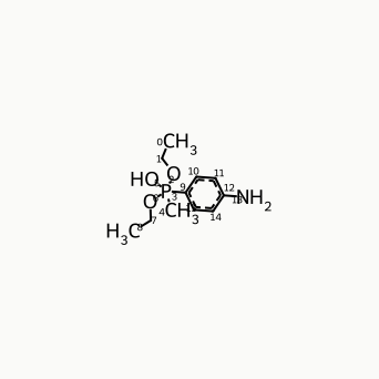 CCOP(C)(O)(OCC)c1ccc(N)cc1